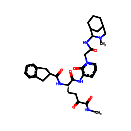 CNC(=O)C(=O)CC[C@H](NC(=O)C1Cc2ccccc2C1)C(=O)Nc1cccn(CC(=O)NC2C3CCCC(C3)CN2C)c1=O